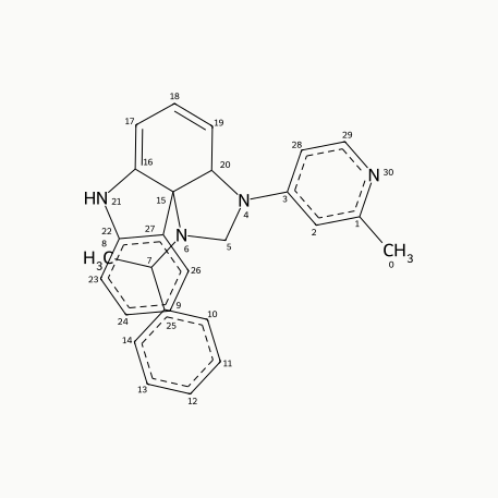 Cc1cc(N2CN(C(C)c3ccccc3)C34C(=CC=CC23)Nc2ccccc24)ccn1